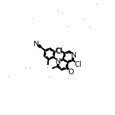 Cc1cc(C#N)cc(Cl)c1-n1c(C)cc(=O)c2c(Cl)ncc(Cl)c21